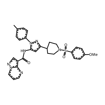 COc1ccc(S(=O)(=O)N2CCC(c3cc(NC(=O)c4cnn5cccnc45)n(-c4ccc(C)cc4)n3)CC2)cc1